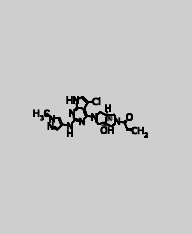 C=CC(=O)N1C[C@@H]2CN(c3nc(Nc4cnn(C)c4)nc4[nH]cc(Cl)c34)C[C@]2(O)C1